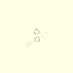 Cc1cc(N2CCCOC[C@@H]2c2ccc(N3CC4(COC4)C3)cc2Cl)nc(N)n1